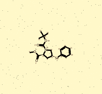 COC(=O)[C@@H]1C[C@@H]([Se]c2ccccc2)CN1C(=O)OC(C)(C)C